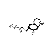 O=C(O)NCCc1cc2c(cc1Cl)NCCO2